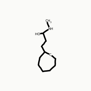 CNC(O)CCC1CCCCCCC1